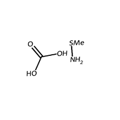 CSN.O=C(O)O